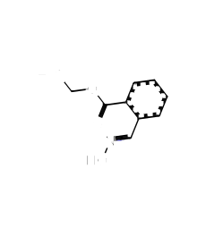 CCOC(=O)c1ccccc1/C=N/O